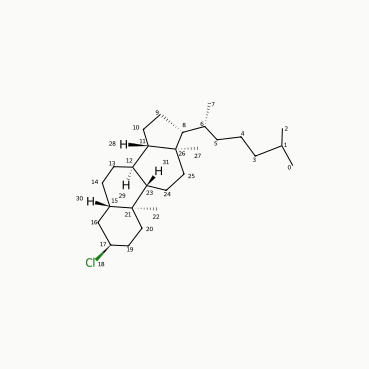 CC(C)CCC[C@@H](C)[C@H]1CC[C@H]2[C@@H]3CC[C@H]4C[C@H](Cl)CC[C@]4(C)[C@H]3CC[C@]12C